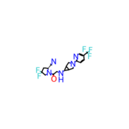 N#C[C@@H]1CC(F)(F)CN1C(=O)CNC1C2CN(c3ccc(C(F)(F)F)cn3)CC21